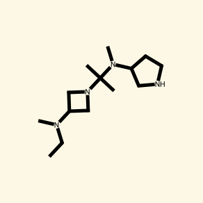 CCN(C)C1CN(C(C)(C)N(C)C2CCNC2)C1